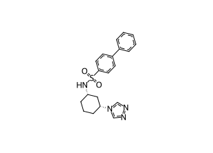 O=S(=O)(N[C@H]1CCC[C@@H](n2cnnc2)C1)c1ccc(-c2ccccc2)cc1